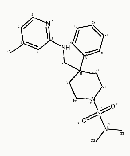 Cc1ccnc(NCC2(c3ccccc3)CCN(S(=O)(=O)N(C)C)CC2)c1